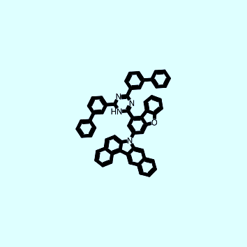 c1ccc(-c2cccc(C3=NC(c4cccc(-c5ccccc5)c4)NC(c4cc(-n5c6cc7ccccc7cc6c6c7ccccc7ccc65)cc5oc6ccccc6c45)=N3)c2)cc1